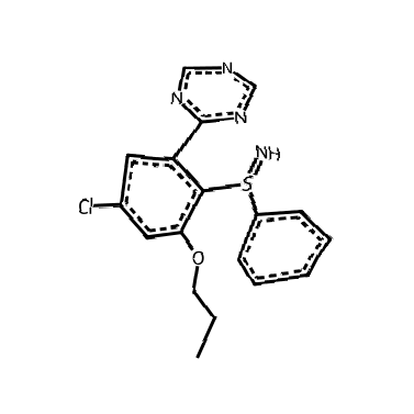 CCCOc1cc(Cl)cc(-c2ncncn2)c1S(=N)c1ccccc1